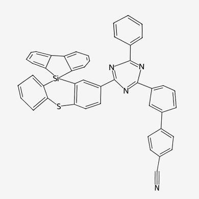 N#Cc1ccc(-c2cccc(-c3nc(-c4ccccc4)nc(-c4ccc5c(c4)[Si]4(c6ccccc6S5)c5ccccc5-c5ccccc54)n3)c2)cc1